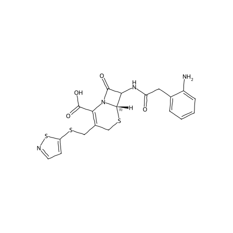 Nc1ccccc1CC(=O)NC1C(=O)N2C(C(=O)O)=C(CSc3ccns3)CS[C@@H]12